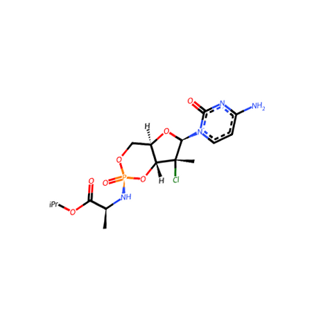 CC(C)OC(=O)[C@H](C)N[P@@]1(=O)OC[C@H]2O[C@@H](n3ccc(N)nc3=O)[C@](C)(Cl)[C@@H]2O1